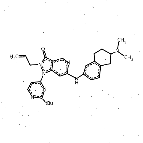 C=CCn1c(=O)c2cnc(Nc3ccc4c(c3)CCC(N(C)C)C4)cc2n1-c1ccnc(C(C)(C)C)n1